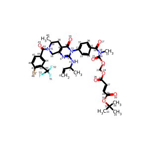 C=CC(C)Nc1nc2c(c(=O)n1-c1ccc(C(=O)N(C)C(=O)OCOC(=O)/C=C/C(=O)OC(C)(C)C)cc1)C[C@@H](C)N(C(=O)c1ccc(Br)c(C(F)(F)F)c1)C2